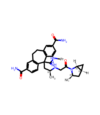 CC(C)NC(=N)C1(C[C@H](C)NCC(=O)N2[C@H](C#N)C[C@@H]3C[C@@H]32)c2ccc(C(N)=O)cc2CCc2cc(C(N)=O)ccc21